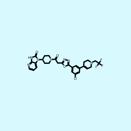 O=C(Cc1nnc(-c2cc(Cl)cc(C3=CCN(CC(F)(F)F)CC3)c2)o1)N1CCC(n2c(=O)[nH]c3ncccc32)CC1